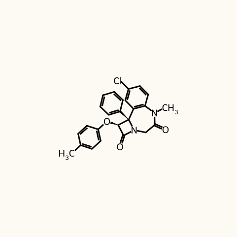 Cc1ccc(O[C@@H]2C(=O)N3CC(=O)N(C)c4ccc(Cl)cc4[C@@]23c2ccccc2)cc1